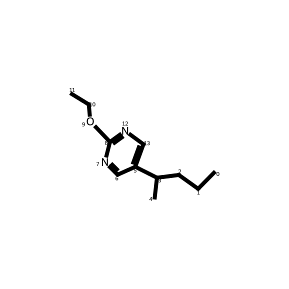 CCCC(C)c1cnc(OCC)nc1